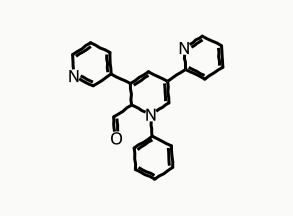 O=CC1C(c2cccnc2)=CC(c2ccccn2)=CN1c1ccccc1